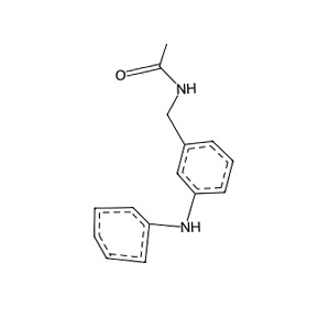 CC(=O)NCc1cccc(Nc2ccccc2)c1